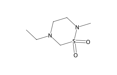 CCN1CCN(C)S(=O)(=O)C1